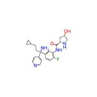 N[C@](CCC1CC1)(c1ccncc1)c1ccc(F)c(NC(=O)[C@H]2C[C@@H](O)CN2)c1